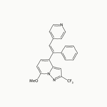 COc1ccc(/C(=C/c2ccncc2)c2ccccc2)c2cc(C(F)(F)F)nn12